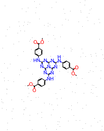 COC(=O)c1ccc(NC2=NC3=NC(Nc4ccc(C(=O)OC)cc4)=NC4=NC(Nc5ccc(C(=O)OC)cc5)=NC(=N2)N34)cc1